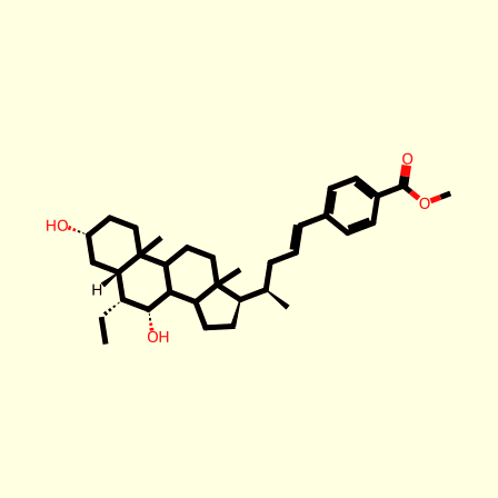 CC[C@H]1[C@@H](O)C2C3CC[C@H]([C@H](C)C/C=C/c4ccc(C(=O)OC)cc4)C3(C)CCC2C2(C)CC[C@@H](O)C[C@@H]12